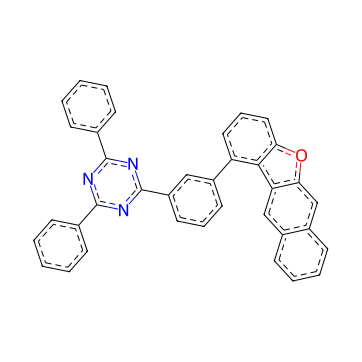 c1ccc(-c2nc(-c3ccccc3)nc(-c3cccc(-c4cccc5oc6cc7ccccc7cc6c45)c3)n2)cc1